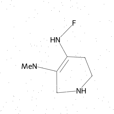 CNC1=C(NF)CCNC1